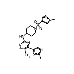 Cc1ncc(-c2nc(NC3CCN(S(=O)(=O)c4cnn(C)c4)CC3)ncc2C(F)(F)F)s1